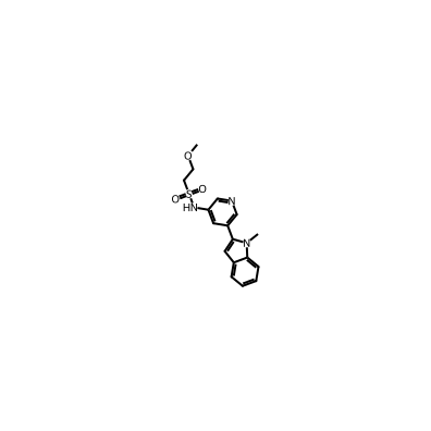 COCCS(=O)(=O)Nc1cncc(-c2cc3ccccc3n2C)c1